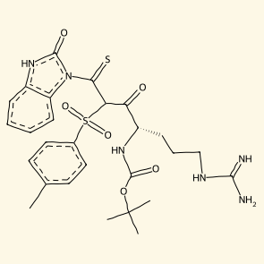 Cc1ccc(S(=O)(=O)C(C(=O)[C@H](CCCNC(=N)N)NC(=O)OC(C)(C)C)C(=S)n2c(=O)[nH]c3ccccc32)cc1